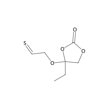 CCC1(OCC=S)COC(=O)O1